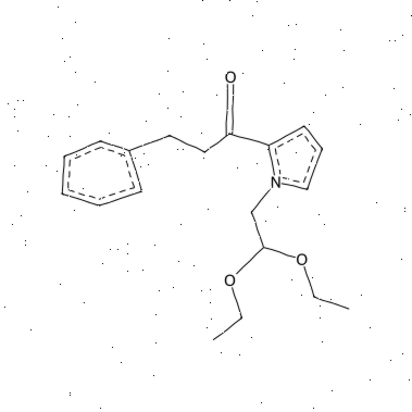 CCOC(Cn1cccc1C(=O)CCc1ccccc1)OCC